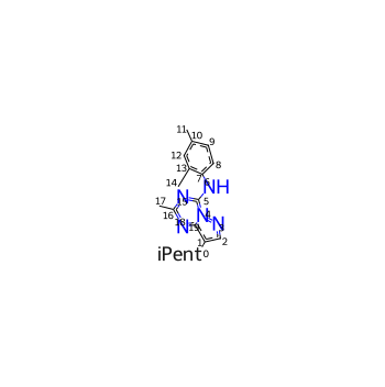 CCCC(C)c1cnn2c(Nc3ccc(C)cc3C)nc(C)nc12